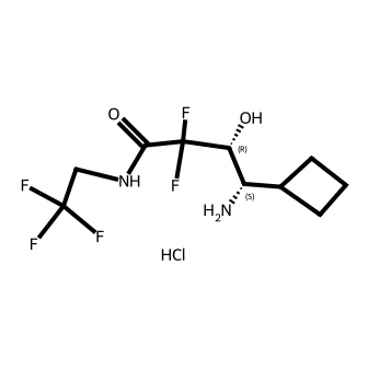 Cl.N[C@@H](C1CCC1)[C@@H](O)C(F)(F)C(=O)NCC(F)(F)F